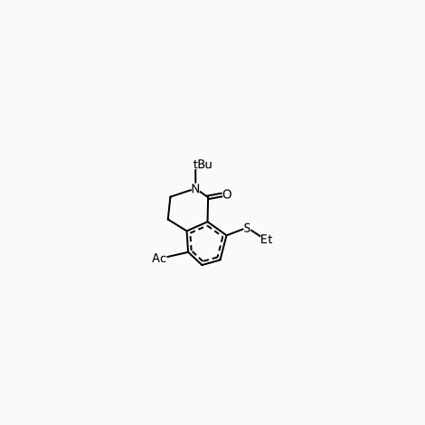 CCSc1ccc(C(C)=O)c2c1C(=O)N(C(C)(C)C)CC2